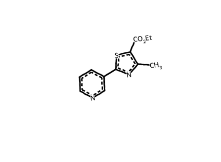 CCOC(=O)c1sc(-c2cccnc2)nc1C